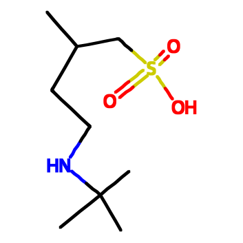 CC(CCNC(C)(C)C)CS(=O)(=O)O